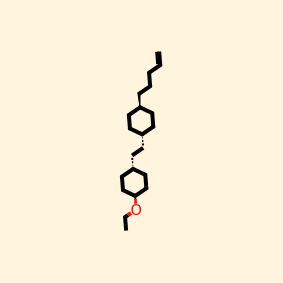 C=CCCC[C@H]1CC[C@H](CC[C@H]2CC[C@H](OCC)CC2)CC1